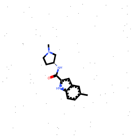 Cc1ccc2[nH]c(C(=O)N[C@@H]3CCN(C)C3)cc2c1